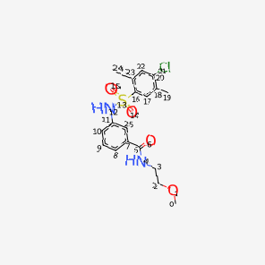 COCCNC(=O)c1cccc(NS(=O)(=O)c2cc(C)c(Cl)cc2C)c1